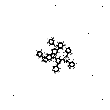 c1ccc(-c2cc(-c3nc(-c4ccccc4)nc(-c4ccccc4)n3)cc(-n3c4cc5ccn(-c6ccccc6)c5cc4c4cc5c(cc43)c3ccccc3n5-c3ccccc3)c2)cc1